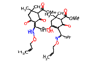 C=CCO/N=C(\CCC)C1=C(O)CC(C)(C)C(C(=O)OC)C1=O.C=CCON/C(CCC)=C1\C(=O)CC(C)(C)C(C(=O)OC)C1=O